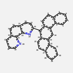 c1ccc2c(c1)ccc1c(-c3ccc4ccc5cccnc5c4n3)c3ccc4ccccc4c3cc12